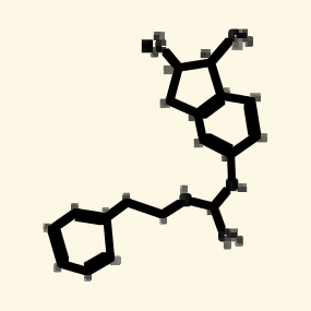 CC(OCCc1ccccc1)Oc1ccc2c(c1)CC(C)C2C